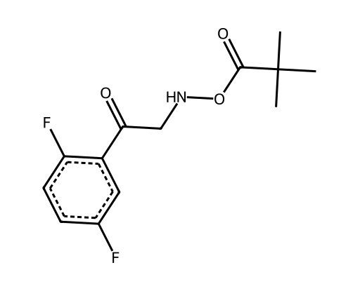 CC(C)(C)C(=O)ONCC(=O)c1cc(F)ccc1F